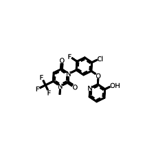 Cn1c(C(F)(F)F)cc(=O)n(-c2cc(Oc3ncccc3O)c(Cl)cc2F)c1=O